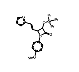 COc1ccc(N2C(=O)C(O[Si](C(C)C)(C(C)C)C(C)C)C2C=Cc2ccco2)cc1